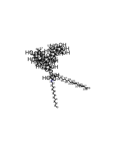 CCCCCCCCCCCCC/C=C/[C@@H](O)[C@H](CO[C@@H]1O[C@H](CO)[C@@H](O[C@@H]2O[C@H](CO)[C@H](O[C@@H]3O[C@H](CO)[C@H](O)[C@H](O[C@@H]4O[C@H](CO)[C@H](O)[C@H](O)[C@H]4O)[C@H]3NC(C)=O)[C@H](O[C@]3(C(=O)OC(C)C)C[C@@H](O)[C@H](NC(C)=O)[C@@H]([C@H](O)[C@H](O)CO)O3)[C@H]2O)[C@H](O)[C@H]1O)NC(=O)CCCCCCCCCCCCCCCCC